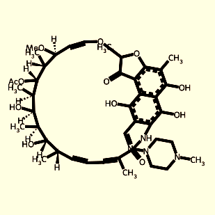 CO[C@H]1/C=C\O[C@@]2(C)Oc3c(C)c(O)c4c(O)c(c(C=NN5CCN(C)CC5)c(O)c4c3C2=O)NC(=O)/C(C)=C\C=C/[C@H](C)[C@H](O)[C@@H](C)[C@@H](O)[C@@H](C)[C@H](OC(C)=O)[C@@H]1C